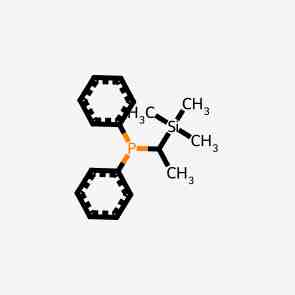 CC(P(c1ccccc1)c1ccccc1)[Si](C)(C)C